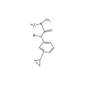 CN(C)C(=O)C(Br)c1cccc(C2CC2)c1